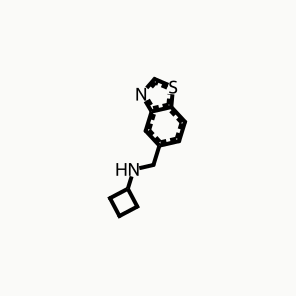 c1nc2cc(CNC3CCC3)ccc2s1